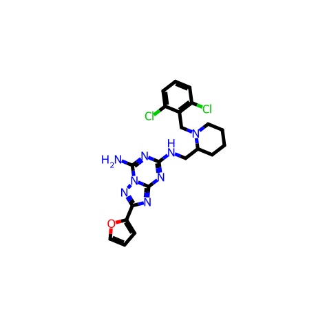 Nc1nc(NCC2CCCCN2Cc2c(Cl)cccc2Cl)nc2nc(-c3ccco3)nn12